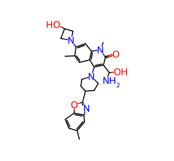 Cc1ccc2oc(C3CCN(c4c(C(N)O)c(=O)n(C)c5cc(N6CC(O)C6)c(C)cc45)CC3)nc2c1